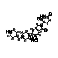 Cl.Cl.O=C1CCC(N2Cc3cc(N4CCN(CC5CCNCC5)CC4)ccc3C2=O)C(=O)N1